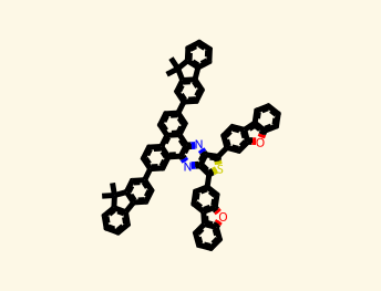 CC1(C)c2ccccc2-c2ccc(-c3ccc4c5ccc(-c6ccc7c(c6)C(C)(C)c6ccccc6-7)cc5c5nc6c(-c7ccc8c(c7)oc7ccccc78)sc(-c7ccc8c(c7)oc7ccccc78)c6nc5c4c3)cc21